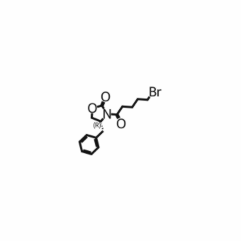 O=C(CCCCBr)N1C(=O)OC[C@H]1Cc1ccccc1